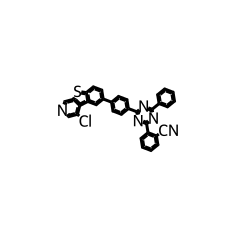 N#Cc1ccccc1-c1nc(-c2ccccc2)nc(-c2ccc(-c3ccc4sc5cncc(Cl)c5c4c3)cc2)n1